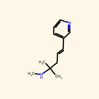 CNC(C)(C)CC=Cc1cccnc1